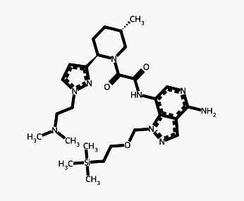 C[C@H]1CC[C@H](c2ccn(CCN(C)C)n2)N(C(=O)C(=O)Nc2cnc(N)c3cnn(COCC[Si](C)(C)C)c23)C1